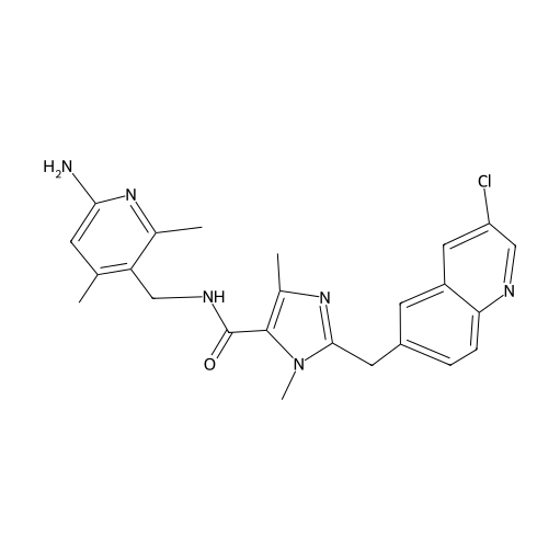 Cc1cc(N)nc(C)c1CNC(=O)c1c(C)nc(Cc2ccc3ncc(Cl)cc3c2)n1C